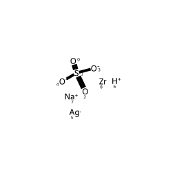 O=S(=O)([O-])[O-].[Ag].[H+].[Na+].[Zr]